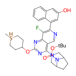 C[SH]1CCC(Oc2nc(N3CC4CCC(C3)N4C(=O)OC(C)(C)C)c3cnc(-c4cc(O)cc5ccccc45)c(F)c3n2)CC1